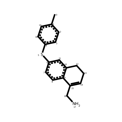 Cc1ccc(Sc2ccc3c(c2)CCC=C3CN)cc1